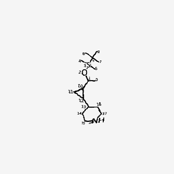 CC(O[Si](C)(C)C(C)(C)C)C1CC1C1CCNCC1